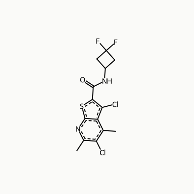 Cc1nc2sc(C(=O)NC3CC(F)(F)C3)c(Cl)c2c(C)c1Cl